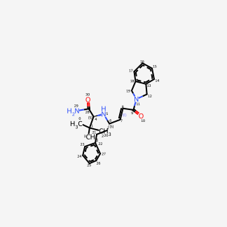 CC(C)(C)[C@H](N[C@H](/C=C/C(=O)N1Cc2ccccc2C1)CCc1ccccc1)C(N)=O